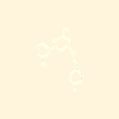 NC1=NC(NCCc2ccc(Cl)cc2)=CC(c2cccc(C(F)(F)F)c2)N1